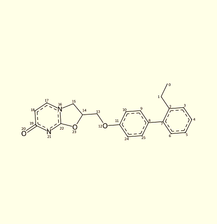 CCc1ccccc1-c1ccc(OCC2Cn3ccc(=O)nc3O2)cc1